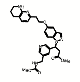 COC(=O)CC(c1cncc(CNC(=O)OC)c1)n1ncc2cc(OCCc3ccc4c(n3)NCCC4)ccc21